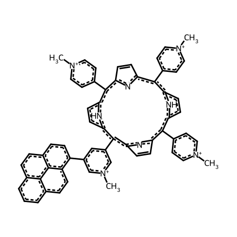 C[n+]1ccc(-c2c3nc(c(-c4cc[n+](C)cc4)c4ccc([nH]4)c(-c4cc(-c5ccc6ccc7cccc8ccc5c6c78)c[n+](C)c4)c4nc(c(-c5cc[n+](C)cc5)c5ccc2[nH]5)C=C4)C=C3)cc1